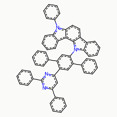 c1ccc(-c2cc(-c3cc(-c4ccccc4)c(-n4c5ccccc5c5ccc6c(c7ccccc7n6-c6ccccc6)c54)cc3-c3ccccc3)nc(-c3ccccc3)n2)cc1